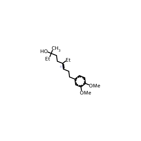 CC/C(=C\CCc1ccc(OC)c(OC)c1)CCC(C)(O)CC